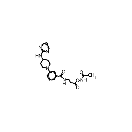 CC(=O)NOC(=O)CCNC(=O)c1cccc(N2CCC(Nc3ncccn3)CC2)c1